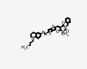 CCCCN1CCCc2cc(/N=N/c3cc4sc(/C=C5\C(=O)N(C)C(=O)N(Cc6ccccc6)C5=O)cc4s3)ccc21